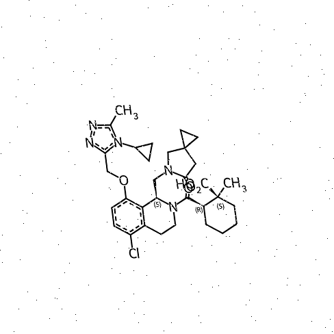 Cc1nnc(COc2ccc(Cl)c3c2[C@@H](CN2CC4(CC4)CC2=O)N(C(=O)[C@@H]2CCCC[C@]2(C)C(=O)O)CC3)n1C1CC1